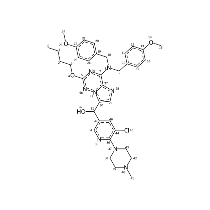 CCCCOc1nc(N(Cc2ccc(OC)cc2)Cc2ccc(OC)cc2)c2ncc(C(O)c3cnc(N4CCN(C)CC4)c(Cl)c3)n2n1